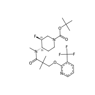 CN(C(=O)C(C)(C)COc1ncccc1C(F)(F)F)[C@H]1CCN(C(=O)OC(C)(C)C)C[C@@H]1F